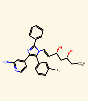 Nc1cc(-c2nc(-c3ccccc3)n(/C=C/[C@@H](O)C[C@@H](O)CC(=O)O)c2-c2cccc(C(F)(F)F)c2)ccn1